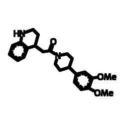 COc1ccc(C2CCN(C(=O)CC3CCNc4ccccc43)CC2)cc1OC